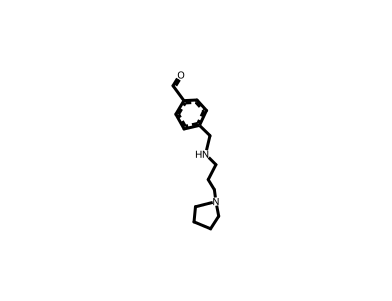 O=Cc1ccc(CNCCCN2CCCC2)cc1